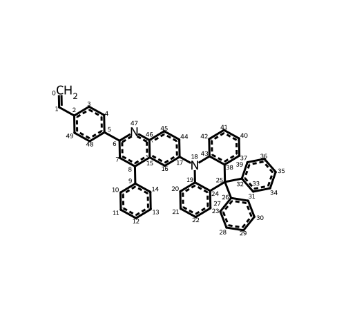 C=Cc1ccc(-c2cc(-c3ccccc3)c3cc(N4c5ccccc5C(c5ccccc5)(c5ccccc5)c5ccccc54)ccc3n2)cc1